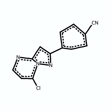 N#Cc1ccc(-c2cc3nccc(Cl)n3n2)cc1